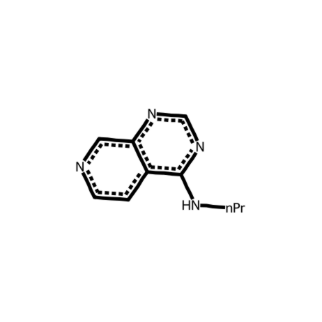 CCCNc1ncnc2cnccc12